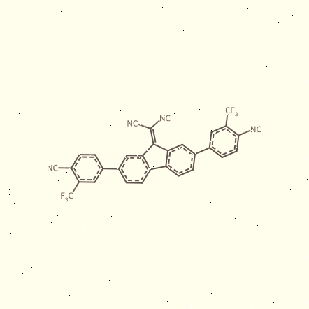 [C-]#[N+]/C(C#N)=C1/c2cc(-c3ccc(C#N)c(C(F)(F)F)c3)ccc2-c2ccc(-c3ccc([N+]#[C-])c(C(F)(F)F)c3)cc21